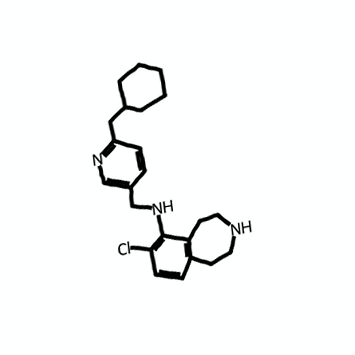 Clc1ccc2c(c1NCc1ccc(CC3CCCCC3)nc1)CCNCC2